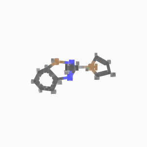 C1=C[SH]([SnH]2[N]3Sc4ccccc4[N]32)C=C1